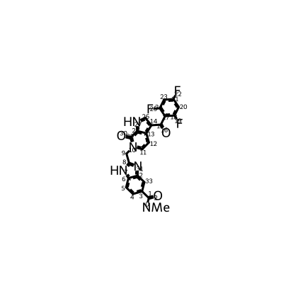 CNC(=O)c1ccc2[nH]c(Cn3ccc4c(C(=O)c5c(F)cc(F)cc5F)c[nH]c4c3=O)nc2c1